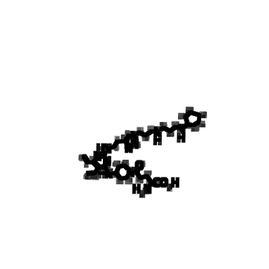 C=Cc1nc(NCCc2cn(CCCNCCCNC3CCCCC3)nn2)nc(NC2CCN(C(=O)CC[C@H](N)C(=O)O)CC2)c1C=C